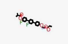 C=CC(=O)O/C=C\Oc1ccc(-c2ccc(-c3ccc(OC(=O)C(=C)C)c(F)c3)c(F)c2)cc1